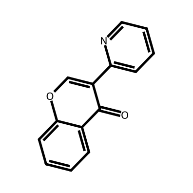 O=c1c(-c2ccccn2)coc2ccccc12